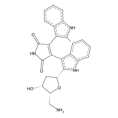 Cc1[nH]c2ccccc2c1C1=C(c2c([C@H]3C[C@@H](O)[C@@H](CN)O3)[nH]c3ccccc23)C(=O)NC1=O